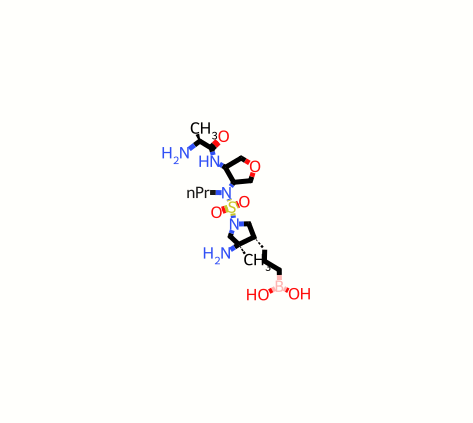 CCCN(C1COCC1NC(=O)[C@H](C)N)S(=O)(=O)N1C[C@H](CCCB(O)O)[C@@](C)(N)C1